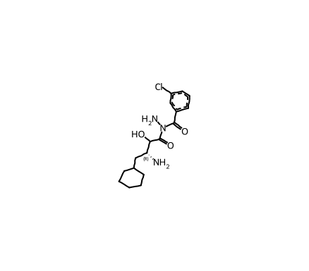 N[C@H](CC1CCCCC1)C(O)C(=O)N(N)C(=O)c1cccc(Cl)c1